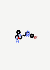 C/C=C\C(CC[C@@H]1CC[C@@H]2NCCc3c2n1c1ccccc31)=N/Nc1ccc(Br)cc1